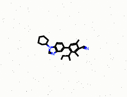 CCC(C)c1c(-c2ccc3c(c2)ncn3C2CCCCC2)cc(C)c(C#N)c1C